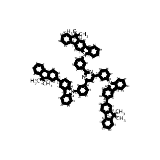 CC1(C)c2ccccc2-c2ccc(-c3ccc4c(c3)c3ccccc3n4-c3cccc(-c4cc(-c5cccc(-n6c7ccccc7c7cc(-c8ccc9c(c8)C(C)(C)c8ccccc8-9)ccc76)c5)nc(-c5cccc(-n6c7ccccc7c7cc8c(cc76)-c6ccccc6C8(C)C)c5)n4)c3)cc21